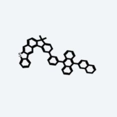 CC1(C)C2=CCC(c3cccc(-c4c5ccccc5c(C5=CC=C6C=CCCC6C5)c5ccccc45)c3)C=C2c2c1ccc1cc3sc4ccccc4c3cc21